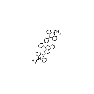 CN1c2ccccc2N(c2ccc3c4ccccc4c4c5cc(N6c7ccccc7N(C)c7ccccc76)ccc5c5ccccc5c4c3c2)c2ccccc21